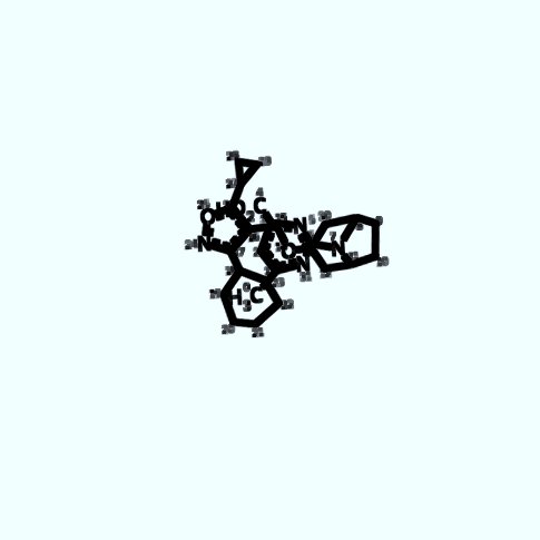 Cc1cc(C(=O)O)nc(N2C3CCC2CC(OCc2c(C4CCCCC4)noc2C2CC2)C3)n1